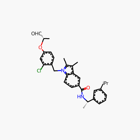 Cc1c(C)n(Cc2ccc(O[C@@H](C)C=O)cc2Cl)c2ccc(C(=O)N[C@@H](C)c3cccc(C(C)C)c3)cc12